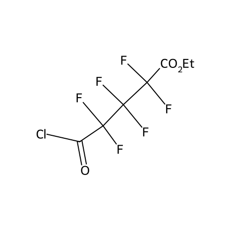 CCOC(=O)C(F)(F)C(F)(F)C(F)(F)C(=O)Cl